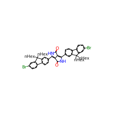 CCCCCCC1(CCCCCC)c2cc(Br)ccc2-c2ccc(C3=C4C(=O)NC(c5ccc6c(c5)C(CCCCCC)(CCCCCC)c5cc(Br)ccc5-6)=C4C(=O)N3)cc21